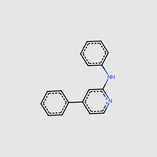 c1ccc(Nc2cc(-c3ccccc3)ccn2)cc1